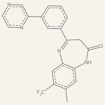 Cc1cc2c(cc1C(F)(F)F)N=C(c1cccc(-c3cnccn3)c1)CC(=O)N2